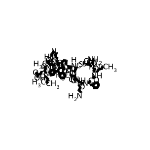 CCCCC[C@H]1NC(=O)C[C@H](Cc2ccccc2)NC(=O)[C@H](CCCCN)NC(=O)[C@H]([C@@H](C)CC)NC(=O)[C@@H](NC2OC2[C@@H]2CCCN2C(=O)[C@@H](NC(=O)[C@H](Cc2cnc[nH]2)NC(=O)[C@@H](NC(=O)[C@H](CCC(=O)O)NC(=O)CC(C)C)[C@@H](C)O)C(c2ccccc2)c2ccccc2)CSSC(C)(C)[C@@H](C(N)=O)NC1=O